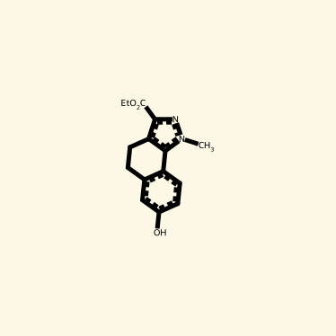 CCOC(=O)c1nn(C)c2c1CCc1cc(O)ccc1-2